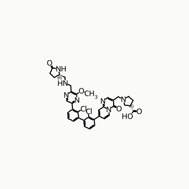 COc1nc(-c2cccc(-c3cccc(-c4ccn5c(=O)c(CN6CC[C@H](C(=O)O)C6)cnc5c4)c3Cl)c2Cl)cnc1CNC[C@H]1CCC(=O)N1